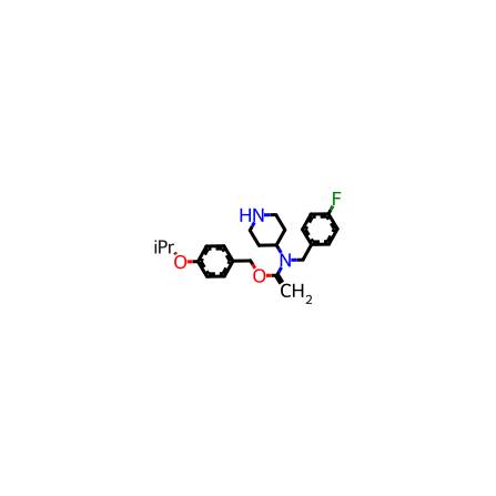 C=C(OCc1ccc(OC(C)C)cc1)N(Cc1ccc(F)cc1)C1CCNCC1